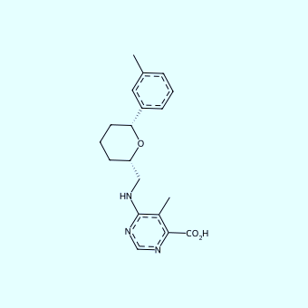 Cc1cccc([C@H]2CCC[C@@H](CNc3ncnc(C(=O)O)c3C)O2)c1